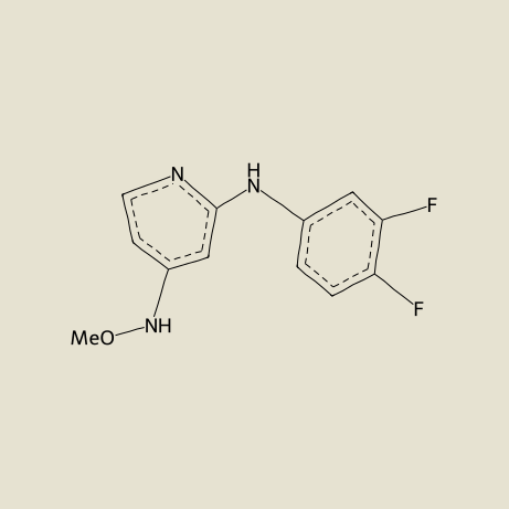 CONc1ccnc(Nc2ccc(F)c(F)c2)c1